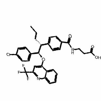 CCC[C@H](c1ccc(C(=O)NCCC(=O)O)cc1)[C@@H](Oc1cc(C(F)(F)F)nc2ccccc12)c1ccc(Cl)cc1